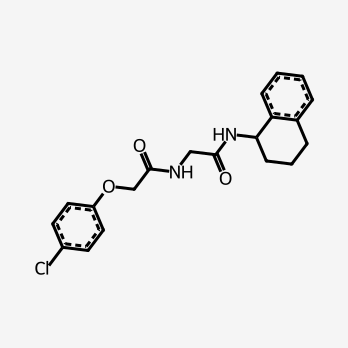 O=C(COc1ccc(Cl)cc1)NCC(=O)NC1CCCc2ccccc21